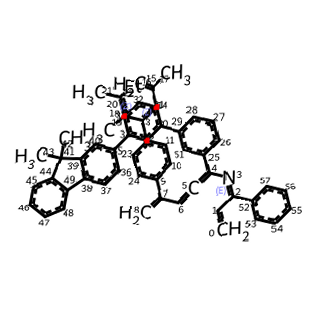 C=C/C(=N\C(=C=CC(=C)c1ccc(C(=C/C(=C)C)/C(C)=C(/C)CC)cc1)c1cccc(-c2cccc(-c3ccc4c(c3)C(C)(C)c3ccccc3-4)c2)c1)c1ccccc1